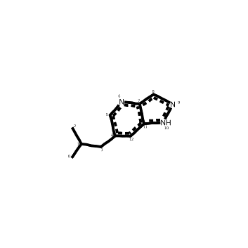 CC(C)Cc1cnc2cn[nH]c2c1